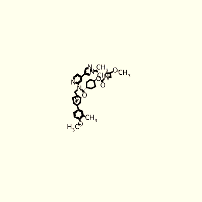 COc1ccc(C23CCC(CN(c4cc(-c5cnn(C(C)C)c5)ccn4)C(=O)[C@H]4CC[C@H](OC(=O)N5CC(OC)C5)CC4)(CC2)CC3)cc1C